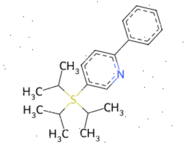 CC(C)S(c1ccc(-c2ccccc2)nc1)(C(C)C)C(C)C